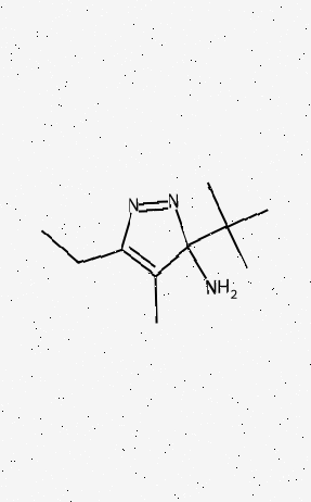 CCC1=C(C)C(N)(C(C)(C)C)N=N1